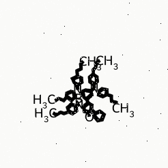 CCCCc1ccc(N2B3c4cc(CCCC)ccc4N(c4ccc(CCCC)cc4)c4cc(N(c5ccc(CCCC)cc5)c5ccc(CCCC)cc5)cc(c43)-c3cc4c(cc32)oc2ccccc24)cc1